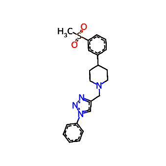 CS(=O)(=O)c1cccc(C2CCN(Cc3cn(-c4ccccc4)nn3)CC2)c1